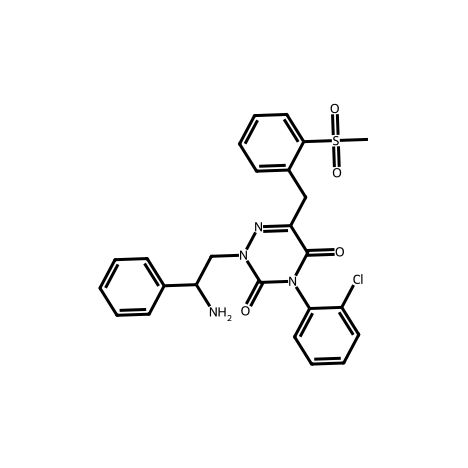 CS(=O)(=O)c1ccccc1Cc1nn(CC(N)c2ccccc2)c(=O)n(-c2ccccc2Cl)c1=O